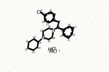 Cl.Cl.Clc1ccc(CC(c2ccccc2)N2CCN(C3CCCCC3)CC2)cc1